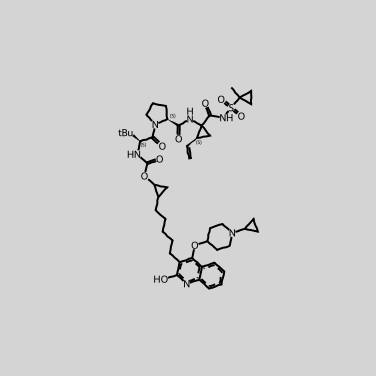 C=C[C@@H]1CC1(NC(=O)[C@@H]1CCCN1C(=O)[C@@H](NC(=O)OC1CC1CCCCCc1c(O)nc2ccccc2c1OC1CCN(C2CC2)CC1)C(C)(C)C)C(=O)NS(=O)(=O)C1(C)CC1